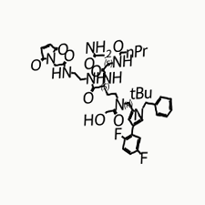 CCCC(=O)N[C@@H](CC(N)=O)C(=O)N[C@@H](CCN(C(=O)CO)[C@@H](c1cc(-c2cc(F)ccc2F)cn1Cc1ccccc1)C(C)(C)C)C(=O)NCCNC(=O)CN1C(=O)C=CC1=O